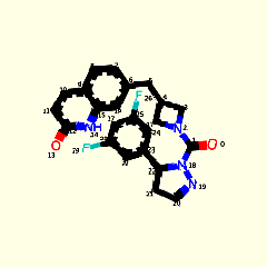 O=C(N1CC(Cc2ccc3ccc(=O)[nH]c3c2)C1)N1N=CCC1c1cc(F)cc(F)c1